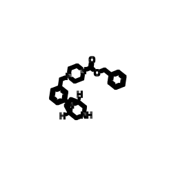 O=C(OCc1ccccc1)N1CCN(Cc2cccc(N3[C@@H]4CC[C@H]3CNC4)c2)CC1